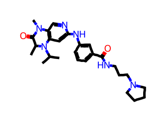 CC(C)N1c2cc(Nc3cccc(C(=O)NCCCN4CCCC4)c3)ncc2N(C)C(=O)C1C